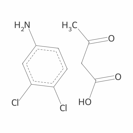 CC(=O)CC(=O)O.Nc1ccc(Cl)c(Cl)c1